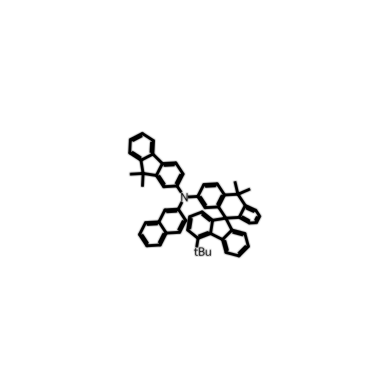 CC(C)(C)c1cccc2c1-c1ccccc1C21c2ccccc2C(C)(C)c2ccc(N(c3ccc4c(c3)C(C)(C)c3ccccc3-4)c3ccc4ccccc4c3)cc21